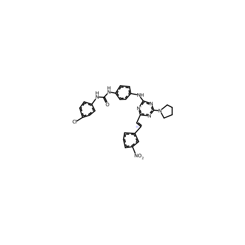 O=C(Nc1ccc(Cl)cc1)Nc1ccc(Nc2nc(/C=C/c3cccc([N+](=O)[O-])c3)nc(N3CCCC3)n2)cc1